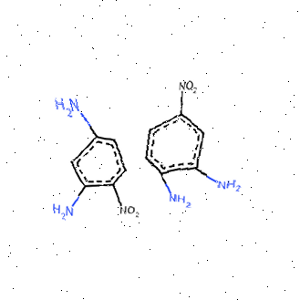 Nc1ccc([N+](=O)[O-])c(N)c1.Nc1ccc([N+](=O)[O-])cc1N